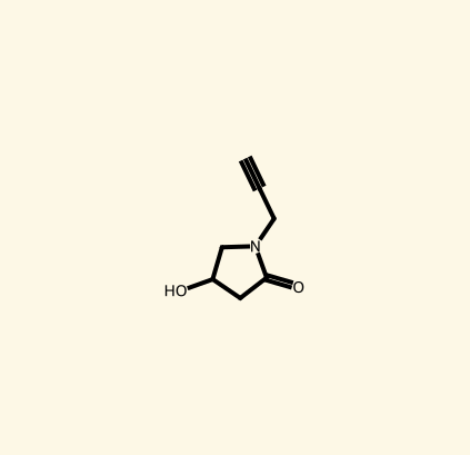 C#CCN1CC(O)CC1=O